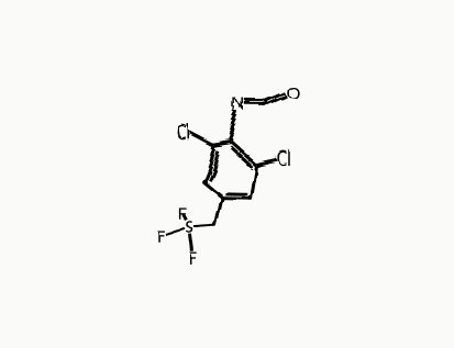 O=C=Nc1c(Cl)cc(CS(F)(F)F)cc1Cl